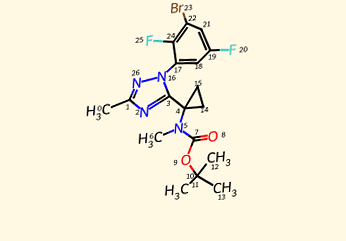 Cc1nc(C2(N(C)C(=O)OC(C)(C)C)CC2)n(-c2cc(F)cc(Br)c2F)n1